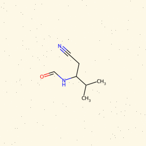 CC(C)C(CC#N)NC=O